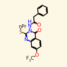 CCCSc1nc2cc(OC(F)(F)F)ccc2c(=O)n1NC(=O)Cc1ccccc1